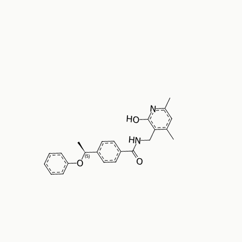 Cc1cc(C)c(CNC(=O)c2ccc([C@H](C)Oc3ccccc3)cc2)c(O)n1